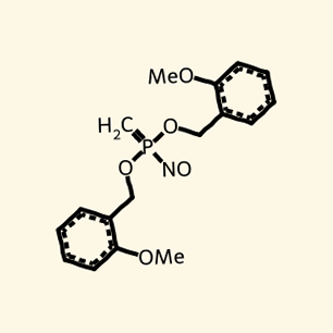 C=P(N=O)(OCc1ccccc1OC)OCc1ccccc1OC